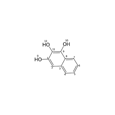 Oc1[c]c2ccccc2c(O)c1O